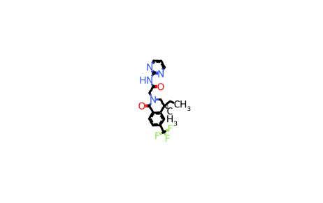 CC[C@]1(C)CN(CC(=O)Nc2ncccn2)C(=O)c2ccc(C(F)(F)F)cc21